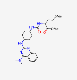 COC(=O)C(CCSC)NC(=O)N[C@H]1CC[C@@H](Nc2nc(N(C)C)c3ccccc3n2)CC1